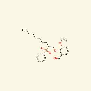 CCCCCCCC(COc1c(C=O)cccc1OC)S(=O)(=O)c1ccccc1